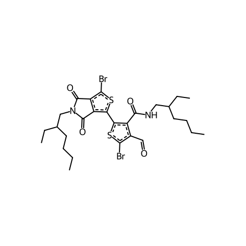 CCCCC(CC)CNC(=O)c1c(-c2sc(Br)c3c2C(=O)N(CC(CC)CCCC)C3=O)sc(Br)c1C=O